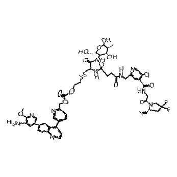 COc1ncc(-c2ccc3nccc(-c4ccc(COC(=O)OCCSSCC(NC(=O)CCC(=O)NCc5cc(C(=O)NCC(=O)N6CC(F)(F)C[C@H]6C#N)c(Cl)cn5)C(=O)N[C@@H]5[C@@H](O)[C@H](C)C(O)O[C@H]5CO)nc4)c3c2)cc1N